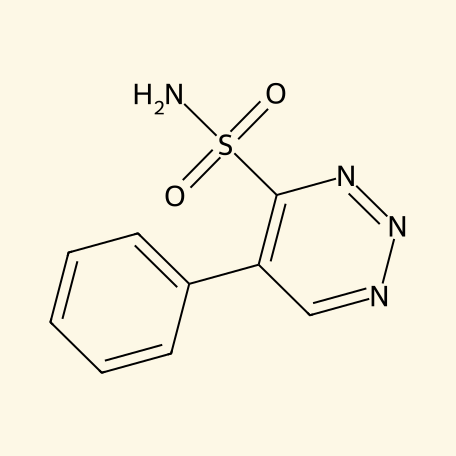 NS(=O)(=O)c1nnncc1-c1ccccc1